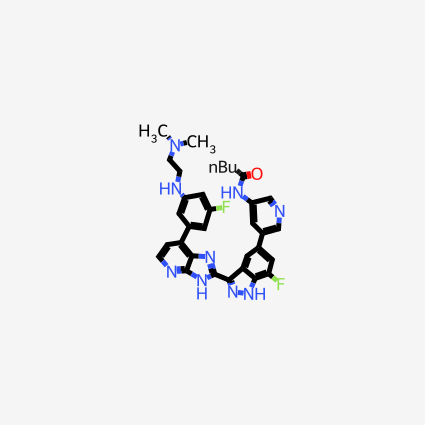 CCCCC(=O)Nc1cncc(-c2cc(F)c3[nH]nc(-c4nc5c(-c6cc(F)cc(NCCN(C)C)c6)ccnc5[nH]4)c3c2)c1